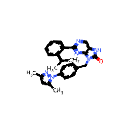 Cc1cc(C)n(-c2ccc(Cn3c(=O)[nH]c4cnc(-c5ccccc5C(C)C)nc43)cc2)n1